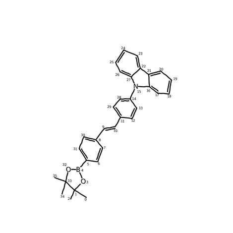 CC1(C)OB(c2ccc(/C=C/c3ccc(-n4c5ccccc5c5ccccc54)cc3)cc2)OC1(C)C